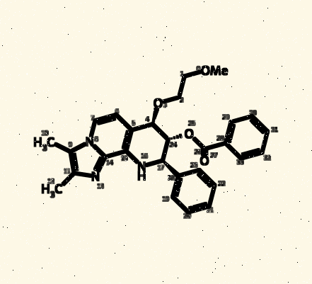 COCCO[C@@H]1c2ccn3c(C)c(C)nc3c2N[C@H](c2ccccc2)[C@H]1OC(=O)c1ccccc1